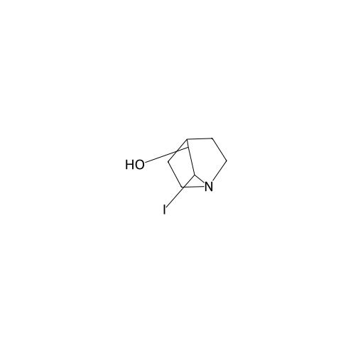 OC1C2CCN(CC2)C1I